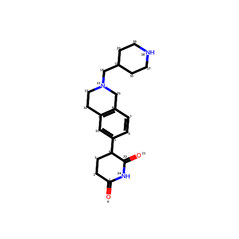 O=C1CCC(c2ccc3c(c2)CCN(CC2CCNCC2)C3)C(=O)N1